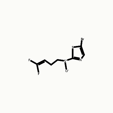 [O-][S+](CCC=C(F)F)c1ncc(Br)s1